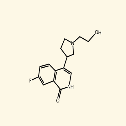 O=c1[nH]cc(C2CCN(CCO)C2)c2ccc(F)cc12